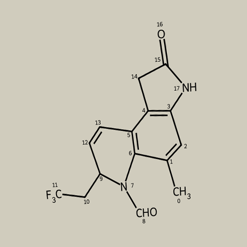 Cc1cc2c(c3c1N(C=O)C(CC(F)(F)F)C=C3)CC(=O)N2